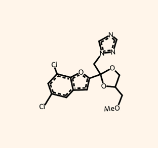 COCC1COC(Cn2cncn2)(c2cc3cc(Cl)cc(Cl)c3o2)O1